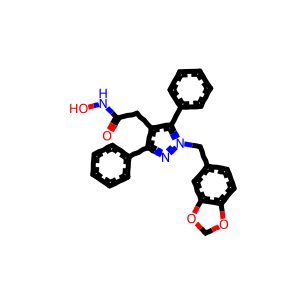 O=C(Cc1c(-c2ccccc2)nn(Cc2ccc3c(c2)OCO3)c1-c1ccccc1)NO